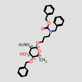 CC(=O)N[C@H]1[C@@H](OCCCN(Cc2ccccc2)C(=O)OCc2ccccc2)O[C@H](C)[C@@H](OCc2ccccc2)[C@@H]1O